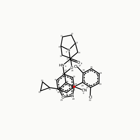 N#Cc1cccc(NC(=O)N2C3CCC2CC(OCc2c(-c4c(Cl)cccc4Cl)noc2C2CC2)C3)c1